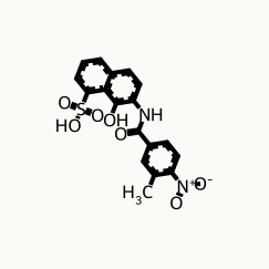 Cc1cc(C(=O)Nc2ccc3cccc(S(=O)(=O)O)c3c2O)ccc1[N+](=O)[O-]